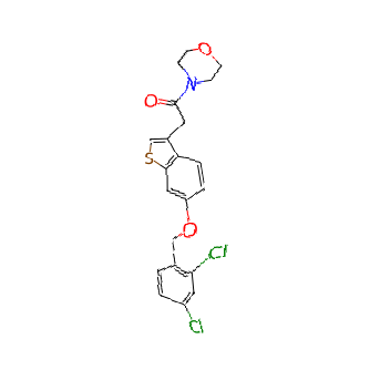 O=C(Cc1csc2cc(OCc3ccc(Cl)cc3Cl)ccc12)N1CCOCC1